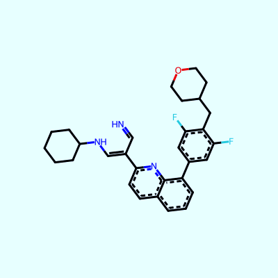 N=C/C(=C\NC1CCCCC1)c1ccc2cccc(-c3cc(F)c(CC4CCOCC4)c(F)c3)c2n1